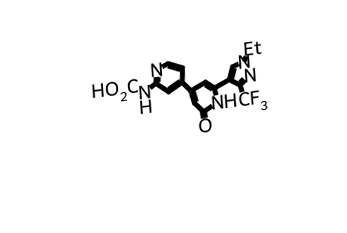 CCn1cc(-c2cc(-c3ccnc(NC(=O)O)c3)cc(=O)[nH]2)c(C(F)(F)F)n1